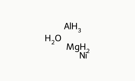 O.[AlH3].[MgH2].[Ni]